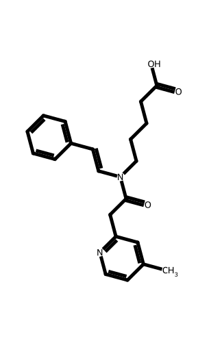 Cc1ccnc(CC(=O)N(C=Cc2ccccc2)CCCCC(=O)O)c1